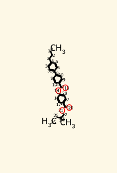 CCCCc1ccc(-c2ccc(C(=O)Oc3ccc(C(=O)OCC(C)CC)cc3)cc2)cc1